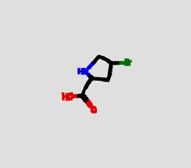 O=C(O)C1CC(Br)CN1